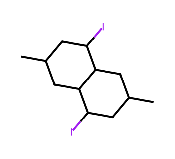 CC1CC(I)C2CC(C)CC(I)C2C1